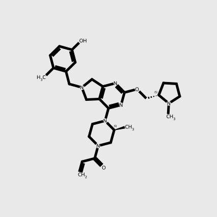 C=CC(=O)N1CCN(c2nc(OC[C@@H]3CCCN3C)nc3c2CN(Cc2cc(O)ccc2C)C3)[C@@H](C)C1